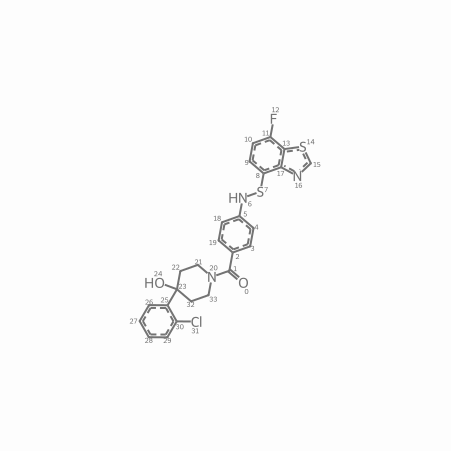 O=C(c1ccc(NSc2ccc(F)c3scnc23)cc1)N1CCC(O)(c2ccccc2Cl)CC1